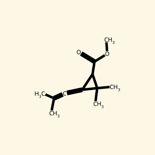 COC(=O)C1C(=C=C(C)C)C1(C)C